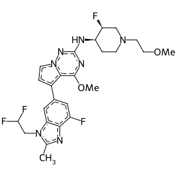 COCCN1CC[C@@H](Nc2nc(OC)c3c(-c4cc(F)c5nc(C)n(CC(F)F)c5c4)ccn3n2)[C@@H](F)C1